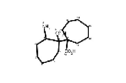 NC1CCCCCC1(C(=O)O)C1(C(=O)O)CCCCCC1